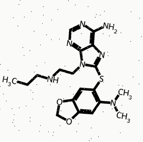 CCCNCCn1c(Sc2cc3c(cc2N(C)C)OCO3)nc2c(N)ncnc21